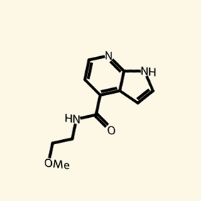 COCCNC(=O)c1ccnc2[nH]ccc12